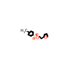 Cc1ccc(S(=O)(=O)OCCc2ccco2)cc1